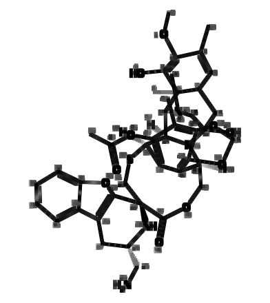 COC1=C(O)C2(C)C(C=C1C)CC1(O)CN(C)C2[C@@H]2[C@@H]3SC[C@]4(N[C@H](CN)Cc5c4oc4ccccc54)C(=O)OC[C@@H](c4c5c(c(C)c(OC(C)=O)c43)OCO5)N21